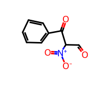 O=CC(C(=O)c1ccccc1)[N+](=O)[O-]